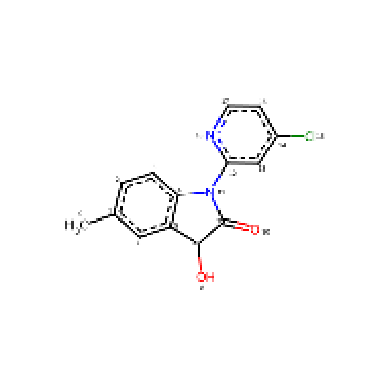 Cc1ccc2c(c1)C(O)C(=O)N2c1cc(Cl)ccn1